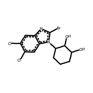 OC1CCCC(n2c(Br)nc3cc(Cl)c(Cl)cc32)C1O